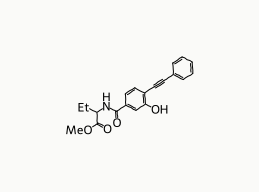 CCC(NC(=O)c1ccc(C#Cc2ccccc2)c(O)c1)C(=O)OC